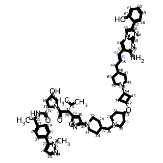 CC(C)[C@@H](C(=O)N1C[C@H](O)C[C@H]1C(=O)N[C@@H](C)c1ccc(-c2ccnn2C)cc1)c1cc(N2CCC(CN3CCC(O[C@H]4C[C@H](N5CCC(C/C=C/c6cn7cc(-c8ccccc8O)nc7nc6N)CC5)C4)CC3)CC2)no1